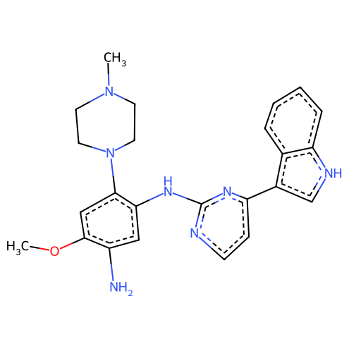 COc1cc(N2CCN(C)CC2)c(Nc2nccc(-c3c[nH]c4ccccc34)n2)cc1N